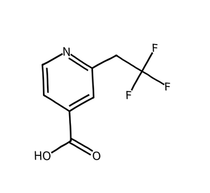 O=C(O)c1ccnc(CC(F)(F)F)c1